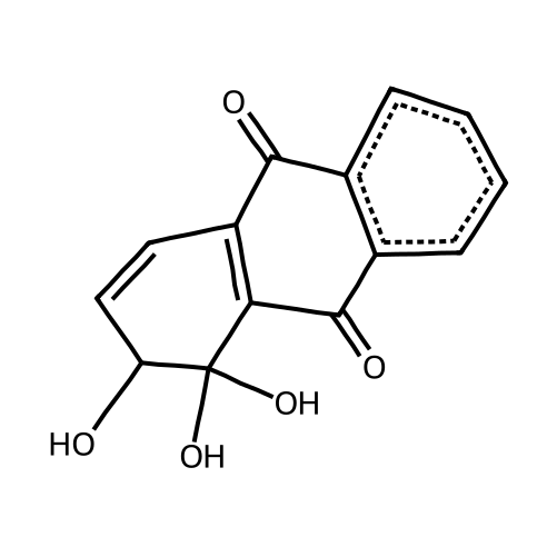 O=C1C2=C(C(=O)c3ccccc31)C(O)(O)C(O)C=C2